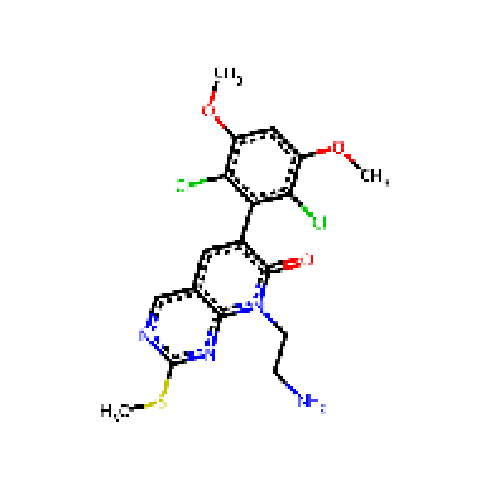 COc1cc(OC)c(Cl)c(-c2cc3cnc(SC)nc3n(CCN)c2=O)c1Cl